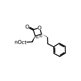 CCCCCCCCC[C@H]1C(=O)O[C@@H]1CCc1ccccc1